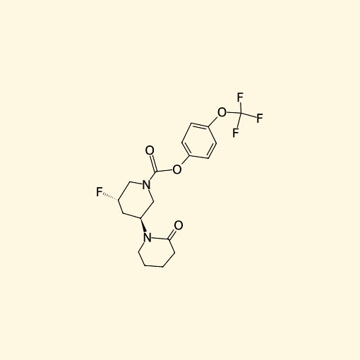 O=C(Oc1ccc(OC(F)(F)F)cc1)N1C[C@@H](F)C[C@H](N2CCCCC2=O)C1